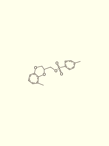 Cc1ccc(S(=O)(=O)OCC2COc3cccc(C)c3O2)cc1